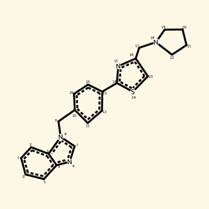 c1ccc2c(c1)ncn2Cc1ccc(-c2nc(CN3CCCC3)cs2)cc1